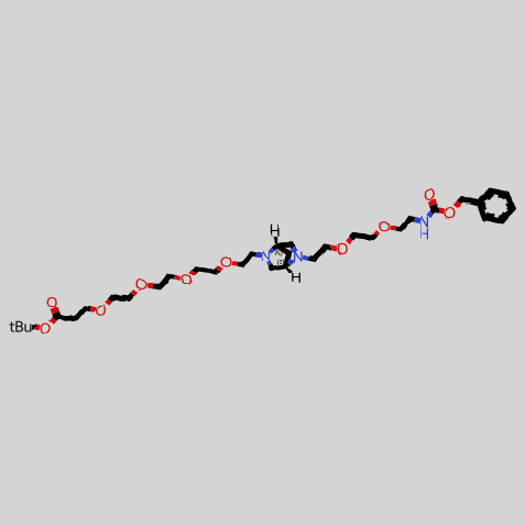 CC(C)(C)OC(=O)CCOCCOCCOCCOCCN1C[C@@H]2C[C@H]1CN2CCOCCOCCNC(=O)OCc1ccccc1